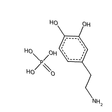 NCCc1ccc(O)c(O)c1.O=P(O)(O)O